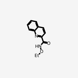 CCONC(=O)c1ccc2ccccc2n1